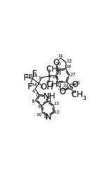 CC(C)(CC(O)(Cc1cc2cnccc2[nH]1)C(F)(F)F)c1cc(S(C)(=O)=O)cc2c1OCC2